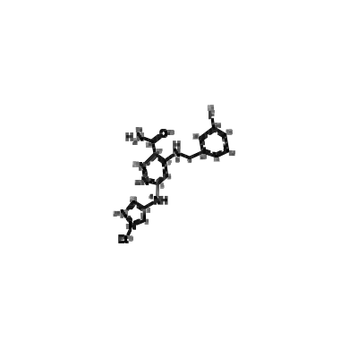 CCn1cc(Nc2cc(NCc3cccc(F)c3)c(C(N)=O)nn2)cn1